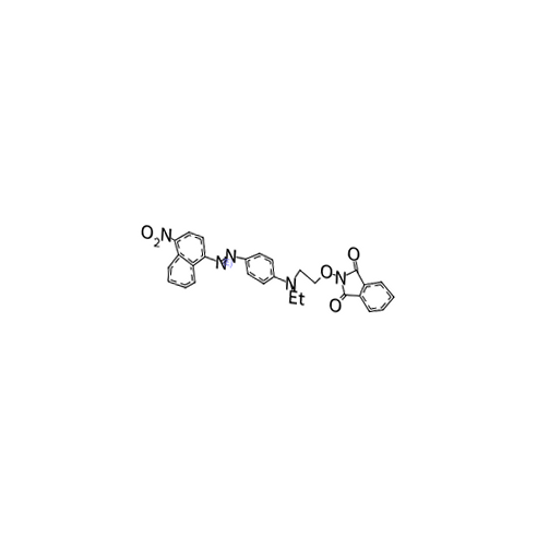 CCN(CCON1C(=O)c2ccccc2C1=O)c1ccc(/N=N/c2ccc([N+](=O)[O-])c3ccccc23)cc1